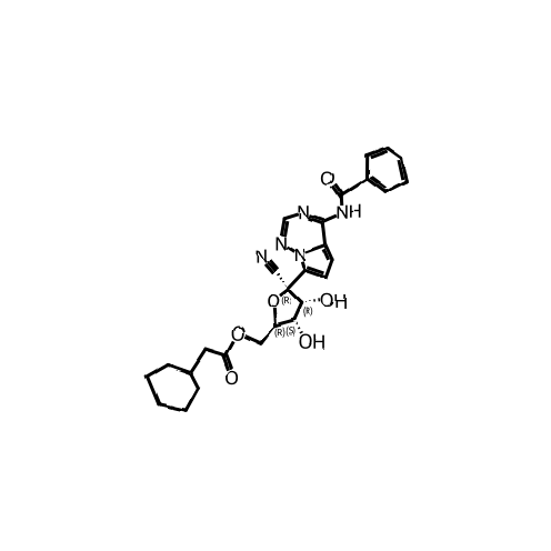 N#C[C@@]1(c2ccc3c(NC(=O)c4ccccc4)ncnn23)O[C@H](COC(=O)CC2CCCCC2)[C@@H](O)[C@H]1O